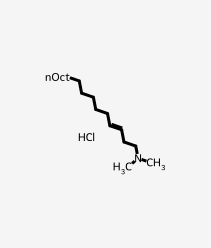 CCCCCCCCCCCCCC=CCCN(C)C.Cl